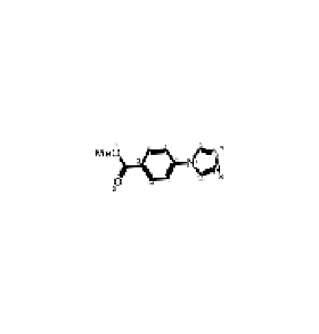 COC(=O)c1ccc(-n2cnnc2)cc1